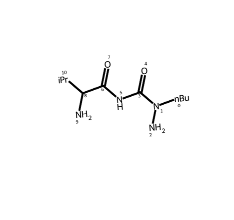 CCCCN(N)C(=O)NC(=O)C(N)C(C)C